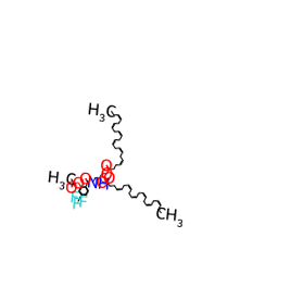 CC/C=C\C/C=C\C/C=C\C/C=C\C/C=C\C/C=C\CCC(=O)OCC(CNC(=O)c1ccc(C(F)(F)F)cc1OC(C)=O)OC(=O)CC/C=C\C/C=C\C/C=C\C/C=C\C/C=C\C/C=C\CC